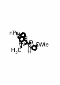 C=CCN1C[C@H](C(=O)NC2CCCC(OC)C2)C[C@@H]2c3cccc4c3c(cn4CCC)C[C@H]21